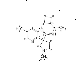 Cc1ccc(C2(C(=O)NC(C)C3CCC3)CCN(C)C2)cc1